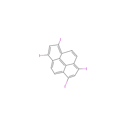 Ic1cc(I)c2ccc3c(I)cc(I)c4ccc1c2c43